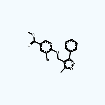 COC(=O)c1cnc(OCc2c(-c3ccccc3)noc2C)c(Br)c1